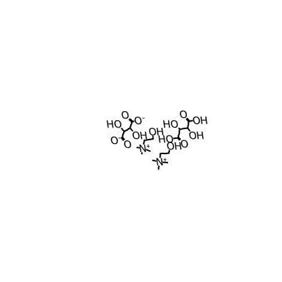 C[N+](C)(C)CCO.C[N+](C)(C)CCO.O=C(O)C(O)C(O)C(=O)O.O=C([O-])C(O)C(O)C(=O)[O-]